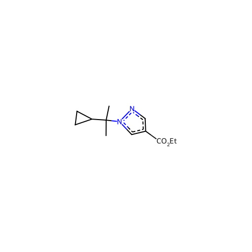 CCOC(=O)c1cnn(C(C)(C)C2CC2)c1